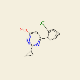 Oc1cc(-c2ccccc2F)nc(C2CC2)n1